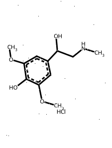 CNCC(O)c1cc(OC)c(O)c(OC)c1.Cl